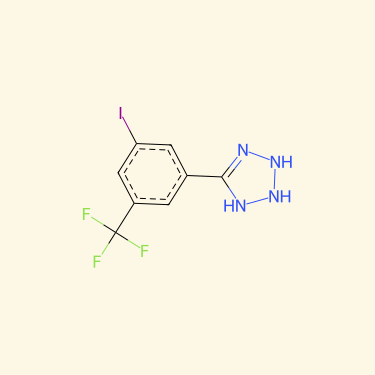 FC(F)(F)c1cc(I)cc(C2=NNNN2)c1